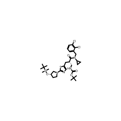 CC(C)(C)OC(=O)NC[C@H](Cc1cnc(N2CC[C@H](O[Si](C)(C)C(C)(C)C)C2)s1)C(=O)N(Cc1cccc(Cl)c1Cl)C1CC1